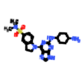 CN(C)S(=O)(=O)c1ccc2c(c1)CCN2c1nc(NC2CCC(N)CC2)nc2[nH]cnc12